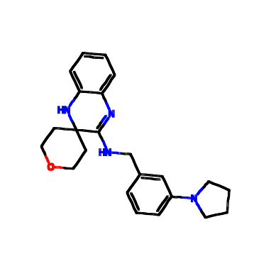 c1cc(CNC2=Nc3ccccc3NC23CCOCC3)cc(N2CCCC2)c1